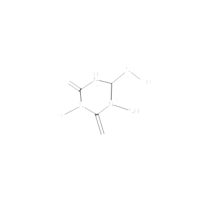 CC(C)N1C(=O)NC(NO)N(N)C1=O